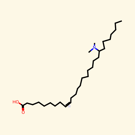 CCCCCCCC(CCCCCCCCCC/C=C\CCCCCCCC(=O)O)N(C)C